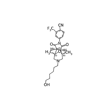 C[C@]12CN(CCCCCCO)C[C@](C)(O1)[C@H]1C(=O)N(c3ccc(C#N)c(C(F)(F)F)c3)C(=O)[C@H]12